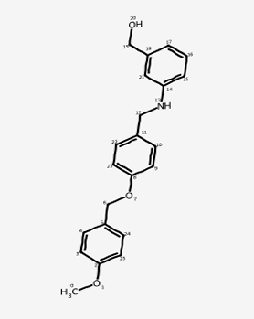 COc1ccc(COc2ccc(CNc3cccc(CO)c3)cc2)cc1